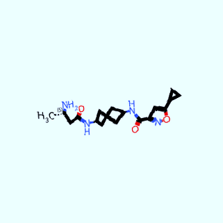 C[C@H](N)CC(=O)N[C@H]1CC2(C1)C[C@H](NC(=O)c1cc(C3CC3)on1)C2